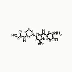 CCCc1cc(N2CCCC(NC(=O)CO)C2)nc(Nc2ccc(Cl)c(N)c2)n1